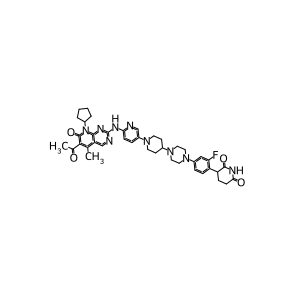 CC(=O)c1c(C)c2cnc(Nc3ccc(N4CCC(N5CCN(c6ccc(C7CCC(=O)NC7=O)c(F)c6)CC5)CC4)cn3)nc2n(C2CCCC2)c1=O